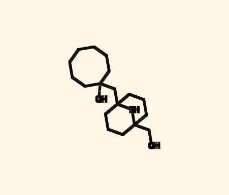 OCC12BC(CC3(O)CCCCCCC3)(CCC1)CCC2